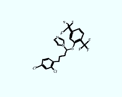 FC(F)(F)c1ccc(C(F)(F)F)c(SC(CCCc2ccc(Cl)cc2Cl)n2ccnc2)c1